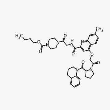 CCCCOC(=O)N1CCN(C(=O)CNC(=O)c2cc(OCC(=O)N3CCCC3C(=O)N3CCCc4ccccc43)c3ccc(C)cc3n2)CC1